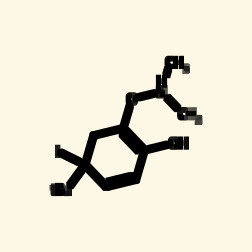 C[SiH](C)OC1=C(O)C=CC(I)(C(C)(C)C)C1